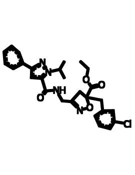 CCOC(=O)C1(Cc2cccc(Cl)c2)CC(CNC(=O)c2cc(-c3ccccc3)nn2C(C)C)=NO1